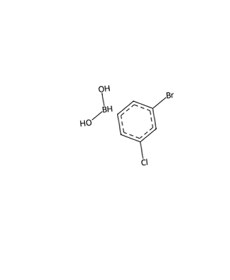 Clc1cccc(Br)c1.OBO